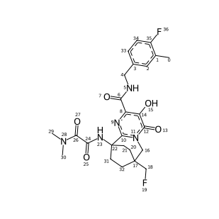 Cc1cc(CNC(=O)c2nc3n(c(=O)c2O)CC2(CF)CCC3(NC(=O)C(=O)N(C)C)CC2)ccc1F